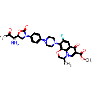 COC(=O)c1cn2c3c(c(N4CCN(c5ccc(N6CC([C@H](N)C(C)=O)OC6=O)cc5)CC4)c(F)cc3c1=O)OCC2C